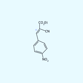 CCOC(=O)/C(C#N)=C/c1ccc([N+](=O)[O-])cc1